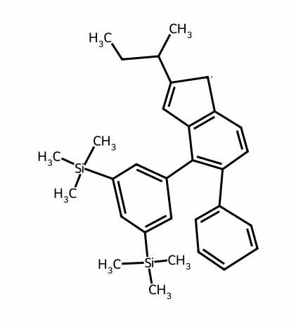 CCC(C)C1=Cc2c(ccc(-c3ccccc3)c2-c2cc([Si](C)(C)C)cc([Si](C)(C)C)c2)[CH]1